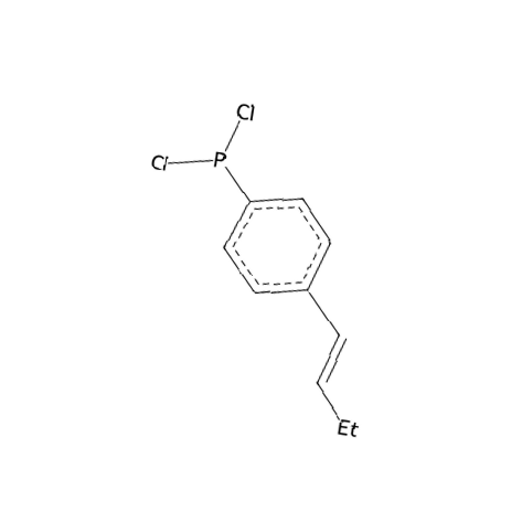 CC/C=C/c1ccc(P(Cl)Cl)cc1